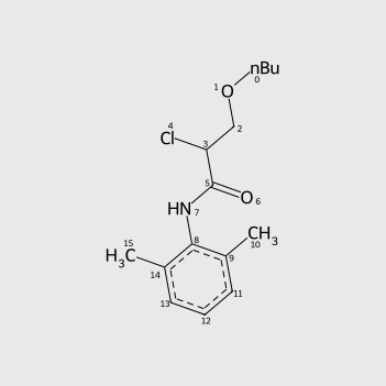 CCCCOCC(Cl)C(=O)Nc1c(C)cccc1C